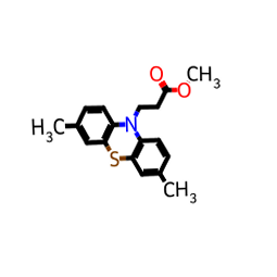 COC(=O)CCN1c2ccc(C)cc2Sc2cc(C)ccc21